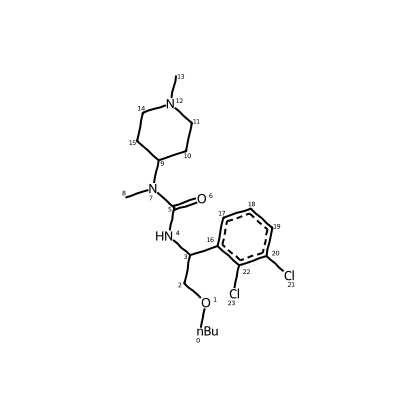 CCCCOCC(NC(=O)N(C)C1CCN(C)CC1)c1cccc(Cl)c1Cl